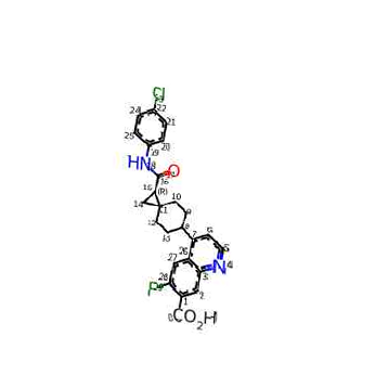 O=C(O)c1cc2nccc(C3CCC4(CC3)C[C@H]4C(=O)Nc3ccc(Cl)cc3)c2cc1F